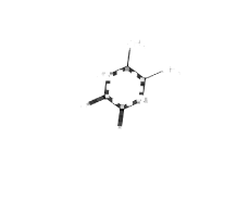 Cc1[nH]c(=O)c(=O)[nH]c1C